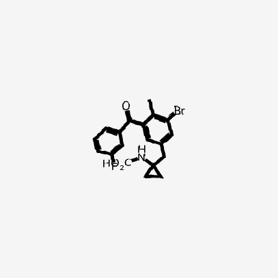 Cc1c(Br)cc(CC2(NC(=O)O)CC2)cc1C(=O)c1cccc(F)c1